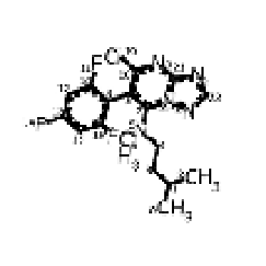 CC(C)CCN(C)c1c(-c2c(F)cc(F)cc2F)c(Cl)nc2ncnn12